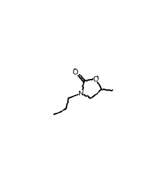 CCCN1CC(C)OC1=O